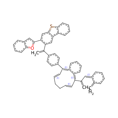 C=C(/C=c1/ccccc1=C)C1=c2\cccc\c2=C(c2ccc(C(=C)c3cc4c(cc3-c3cc5ccccc5o3)sc3ccccc34)cc2)\C=C\CC\C=C\1